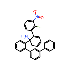 NC1(c2ccccc2-c2cccc(-c3ccccc3)c2)CC=CC=C1c1cccc([N+](=O)[O-])c1F